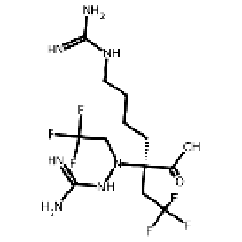 N=C(N)NCCCC[C@@](CC(F)(F)F)(C(=O)O)N(CC(F)(F)F)NC(=N)N